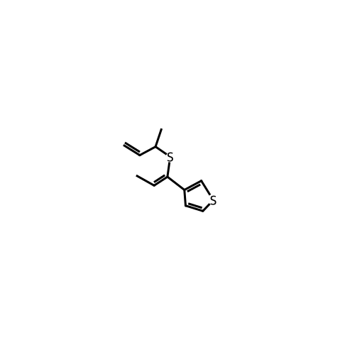 C=CC(C)S/C(=C\C)c1ccsc1